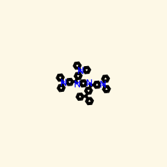 c1ccc(C(c2ccccc2)c2ccc(/C(=N\c3ccc(N=C(c4ccc(N(c5ccccc5)c5ccccc5)cc4)c4ccc(N(c5ccccc5)c5ccccc5)cc4)cc3)c3ccc(N(c4ccccc4)c4ccccc4)cc3)cc2)cc1